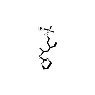 C=CC(CCO[Si](C)(C)C(C)(C)C)CC(C)Sc1ncccn1